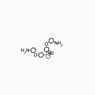 Nc1cccc(Oc2ccc(C3(c4ccc(Oc5cccc(N)c5)cc4)CCCS3(=O)=O)cc2)c1